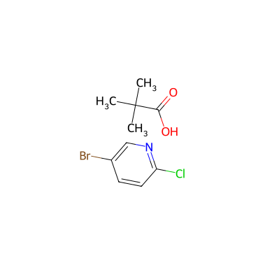 CC(C)(C)C(=O)O.Clc1ccc(Br)cn1